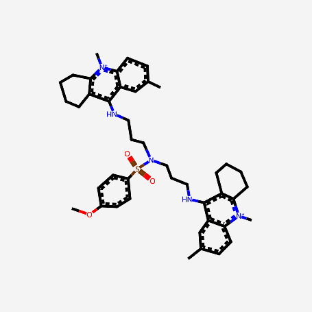 COc1ccc(S(=O)(=O)N(CCCNc2c3c([n+](C)c4ccc(C)cc24)CCCC3)CCCNc2c3c([n+](C)c4ccc(C)cc24)CCCC3)cc1